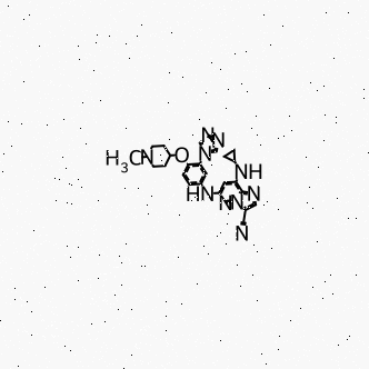 CN1CCC(Oc2ccc(Nc3cc(NC4CC4)c4ncc(C#N)n4n3)cc2-n2cnnc2)CC1